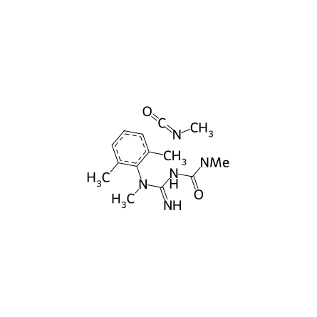 CN=C=O.CNC(=O)NC(=N)N(C)c1c(C)cccc1C